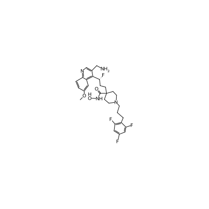 COc1ccc2ncc(CN)c([C@H](F)CCC3(C(=O)NO)CCN(CCCc4c(F)cc(F)cc4F)CC3)c2c1